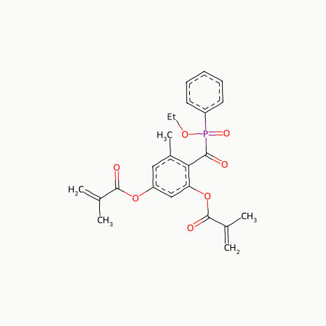 C=C(C)C(=O)Oc1cc(C)c(C(=O)P(=O)(OCC)c2ccccc2)c(OC(=O)C(=C)C)c1